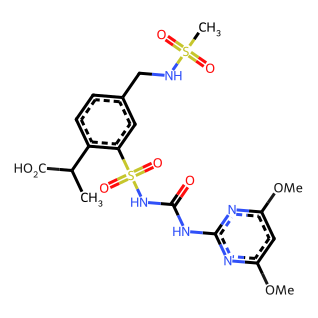 COc1cc(OC)nc(NC(=O)NS(=O)(=O)c2cc(CNS(C)(=O)=O)ccc2C(C)C(=O)O)n1